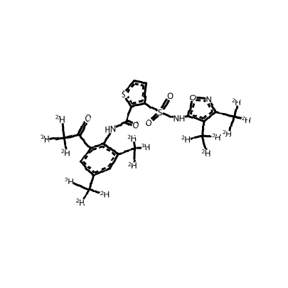 [2H]C([2H])([2H])C(=O)c1cc(C([2H])([2H])[2H])cc(C([2H])([2H])[2H])c1NC(=O)c1sccc1S(=O)(=O)Nc1onc(C([2H])([2H])[2H])c1C([2H])([2H])[2H]